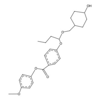 CCCC(OCC1CCC(O)CC1)Oc1ccc(C(=O)Oc2ccc(OC)cc2)cc1